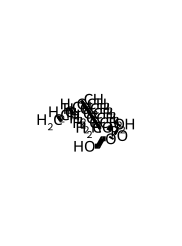 C=C.C=C.C=C.C=C.C=C.C=C.C=C.C=C.O=P(O)(O)OCCO